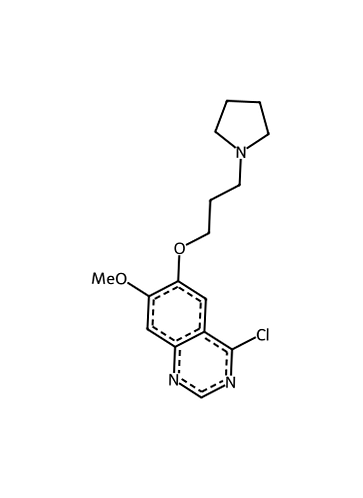 COc1cc2ncnc(Cl)c2cc1OCCCN1CCCC1